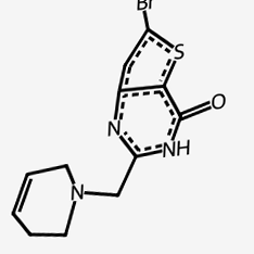 O=c1[nH]c(CN2CC=CCC2)nc2cc(Br)sc12